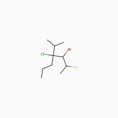 CCCC(Cl)(C(C)C)C(Br)C(C)F